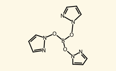 c1cnn(OB(On2cccn2)On2cccn2)c1